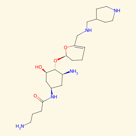 NCCCC(=O)N[C@H]1C[C@@H](O)[C@H](O[C@@H]2CCC=C(CNCC3CCNCC3)O2)[C@@H](N)C1